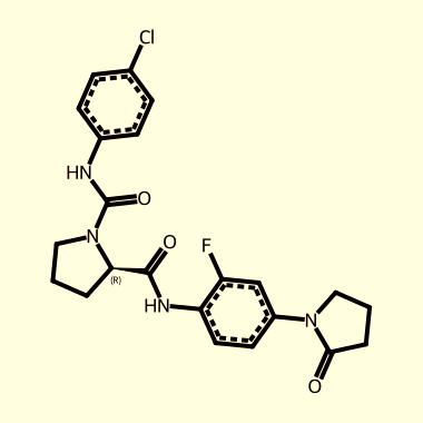 O=C(Nc1ccc(N2CCCC2=O)cc1F)[C@H]1CCCN1C(=O)Nc1ccc(Cl)cc1